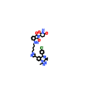 Cc1nnc2n1-c1ccc(-c3cnn(CCCCCNc4cccc5c4C(=O)N(C4CCC(=O)NC4=O)C5=O)c3)cc1C(c1ccc(Cl)cc1)=NC21CC1